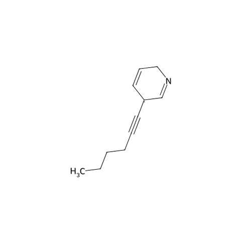 CCCCC#C[C]1C=CCN=C1